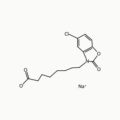 O=C([O-])CCCCCCCn1c(=O)oc2ccc(Cl)cc21.[Na+]